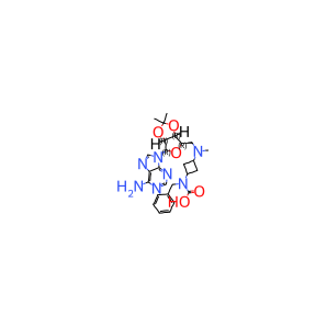 CN(C[C@H]1O[C@@H](n2cnc3c(N)ncnc32)[C@@H]2OC(C)(C)O[C@@H]21)C1CC(N(Cc2ccccc2)C(=O)O)C1